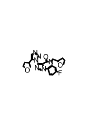 O=c1c2c(-n3nncc3C3CCOC3)ncn2c2ccc(F)cc2n1CC1CCCO1